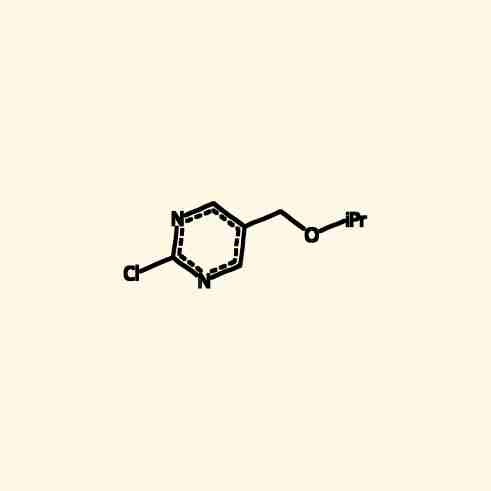 CC(C)OCc1cnc(Cl)nc1